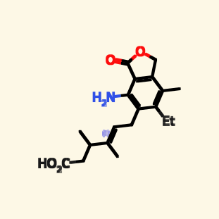 CCc1c(C)c2c(c(N)c1C/C=C(\C)C(C)CC(=O)O)C(=O)OC2